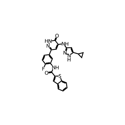 O=C(Nc1cc(-c2cc(Nc3cc(C4CC4)[nH]n3)c(=O)[nH]n2)ccc1F)c1cc2ccccc2s1